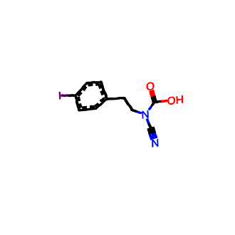 N#CN(CCc1ccc(I)cc1)C(=O)O